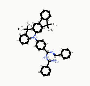 CC1(C)c2ccccc2-c2cc3c(cc21)N(c1ccc(C(/N=C/c2ccccc2)NC(N)c2ccccc2)cc1)c1ccccc1C3(C)C